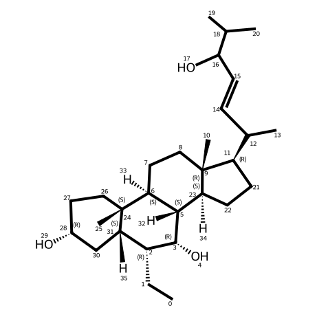 CC[C@H]1[C@@H](O)[C@@H]2[C@H](CC[C@]3(C)[C@@H](C(C)C=CC(O)C(C)C)CC[C@@H]23)[C@@]2(C)CC[C@@H](O)C[C@@H]12